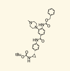 CN1CCN(c2cc(C(=O)Nc3ccc([C@@H]4C[C@H]4NC(=O)OC(C)(C)C)cc3)ccc2NC(=O)OCc2ccccc2)CC1